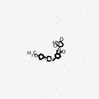 COc1ccc(N2CCN(Cc3ccc4c(c3)CN(C3CCC(=O)NC3=O)C4=O)CC2)cc1